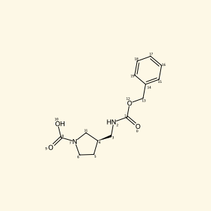 O=C(NC[C@H]1CCN(C(=O)O)C1)OCc1ccccc1